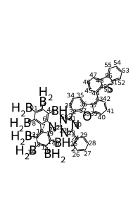 Bc1c(B)c(B)c2c(c1B)c1c(B)c(B)c(B)c(B)c1n2-c1nc(-c2ccccc2)nc(-c2cccc3c2oc2cccc(-c4cccc5c4sc4ccccc45)c23)n1